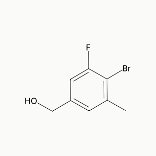 Cc1cc(CO)cc(F)c1Br